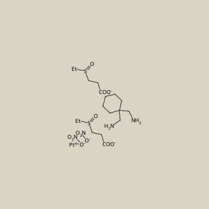 CCS(=O)CCC(=O)[O-].CCS(=O)CCC(=O)[O-].NCC1(CN)CCCCC1.O=[N+]([O-])[O-].O=[N+]([O-])[O-].[Pt+4]